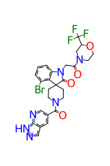 O=C(CN1C(=O)C2(CCN(C(=O)c3cnc4[nH]ncc4c3)CC2)c2c(Br)cccc21)N1CCOC(C(F)(F)F)C1